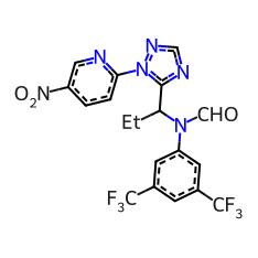 CCC(c1ncnn1-c1ccc([N+](=O)[O-])cn1)N(C=O)c1cc(C(F)(F)F)cc(C(F)(F)F)c1